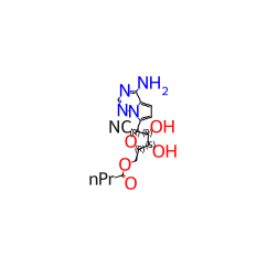 CCCC(=O)OC[C@H]1O[C@@](C#N)(c2ccc3c(N)ncnn23)[C@H](O)[C@@H]1O